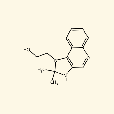 CC1(C)Nc2cnc3ccccc3c2N1CCO